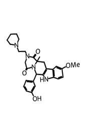 COc1ccc2[nH]c3c(c2c1)CC1(C)C(=O)N(CCN2CCCCC2)CC(=O)N1C3c1cccc(O)c1